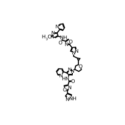 Cn1cc(NC(=O)c2coc(-c3cnn(CC4CC4C4CC(n5cc(NC(=O)c6coc(-c7cn[nH]c7)n6)c(-c6ccccn6)n5)CCO4)c3)n2)c(-c2ccccn2)n1